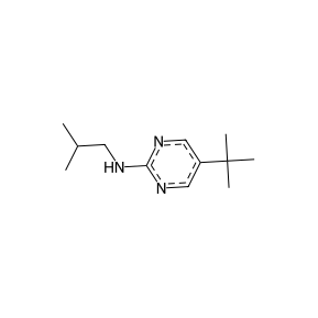 CC(C)CNc1ncc(C(C)(C)C)cn1